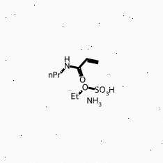 C=CC(=O)NCCC.CCOS(=O)(=O)O.N